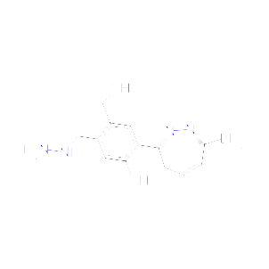 BC1=NN=C(c2cc(CC)c(CNN)cc2O)CC=C1